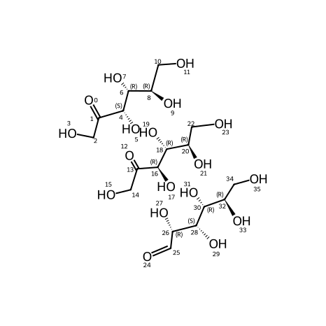 O=C(CO)[C@@H](O)[C@H](O)[C@H](O)CO.O=C(CO)[C@H](O)[C@H](O)[C@H](O)CO.O=C[C@H](O)[C@@H](O)[C@H](O)[C@H](O)CO